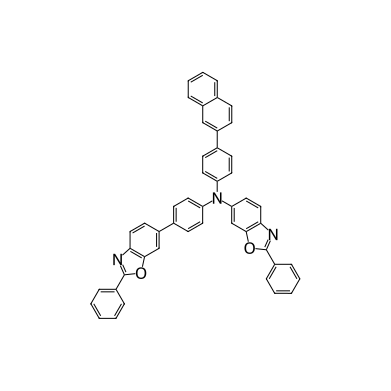 c1ccc(-c2nc3ccc(-c4ccc(N(c5ccc(-c6ccc7ccccc7c6)cc5)c5ccc6nc(-c7ccccc7)oc6c5)cc4)cc3o2)cc1